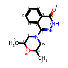 CC1CN(c2n[nH]c(=O)c3ccccc23)CC(C)O1